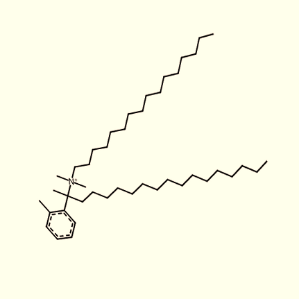 CCCCCCCCCCCCCCCCC(C)(c1ccccc1C)[N+](C)(C)CCCCCCCCCCCCCCCC